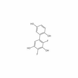 Oc1ccc(O)c(-c2cc(O)c(F)c(O)c2F)c1